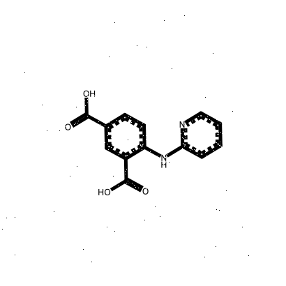 O=C(O)c1ccc(Nc2ccccn2)c(C(=O)O)c1